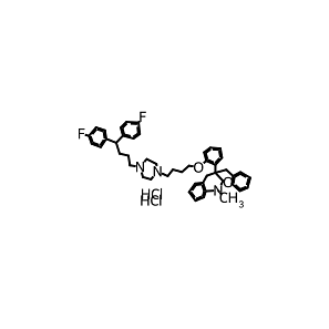 CN1C(=O)C(Cc2ccccc2)(c2ccccc2OCCCCN2CCN(CCCC(c3ccc(F)cc3)c3ccc(F)cc3)CC2)Cc2ccccc21.Cl.Cl